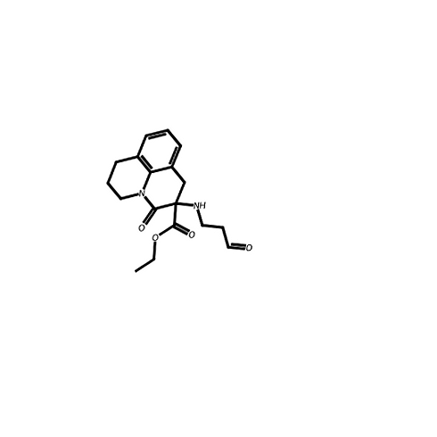 CCOC(=O)C1(NCCC=O)Cc2cccc3c2N(CCC3)C1=O